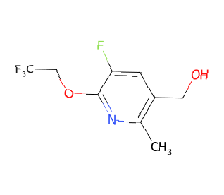 Cc1nc(OCC(F)(F)F)c(F)cc1CO